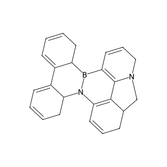 C1=CCC2B3C4=C5C6=C(C=CCC6CN5CC=C4)N3C3CC=CC=C3C2=C1